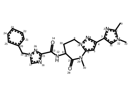 Cc1nc(-c2cc3n(n2)CCC(NC(=O)c2ncn(Cc4ccccc4)n2)C(=O)N3C)cn1C